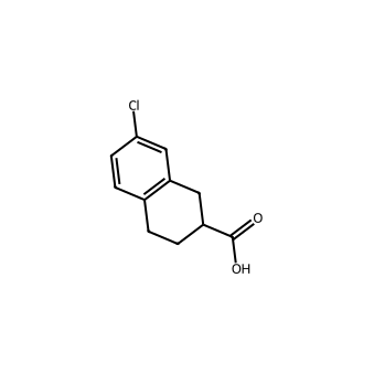 O=C(O)C1CCc2ccc(Cl)cc2C1